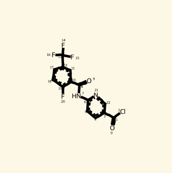 O=C(Cl)c1ccc(NC(=O)c2cc(C(F)(F)F)ccc2F)nc1